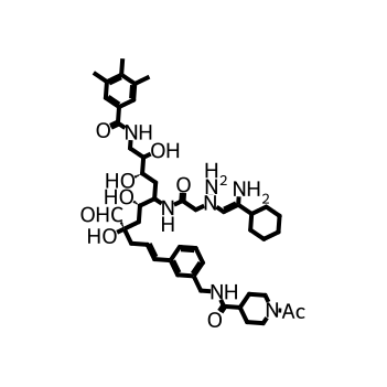 CC(=O)N1CCC(C(=O)NCc2cccc(/C=C/C[C@](O)(C=O)C[C@H](O)C(C[C@H](O)C(O)CNC(=O)c3cc(C)c(C)c(C)c3)NC(=O)CN(N)/C=C(\N)C3CCCCC3)c2)CC1